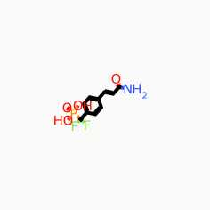 NC(=O)C=Cc1ccc(C(F)(F)P(=O)(O)O)cc1